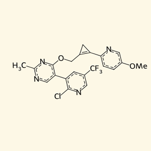 COc1ccc(C2=C(COc3nc(C)ncc3-c3cc(C(F)(F)F)cnc3Cl)C2)nc1